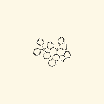 c1ccc([Si](c2ccccc2)(c2ccccc2)c2cccc(N(c3cccc4ccccc34)c3cc4ccccc4c4oc5ccccc5c34)c2)cc1